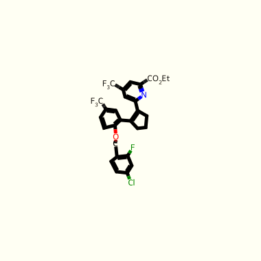 CCOC(=O)c1cc(C(F)(F)F)cc(C2=C(c3cc(C(F)(F)F)ccc3OCc3ccc(Cl)cc3F)CCC2)n1